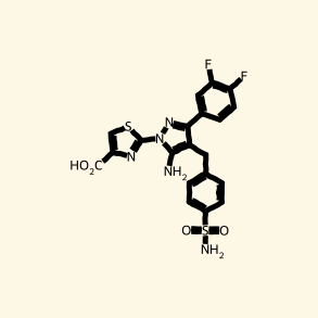 Nc1c(Cc2ccc(S(N)(=O)=O)cc2)c(-c2ccc(F)c(F)c2)nn1-c1nc(C(=O)O)cs1